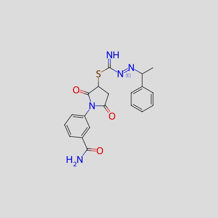 CC(/N=N/C(=N)SC1CC(=O)N(c2cccc(C(N)=O)c2)C1=O)c1ccccc1